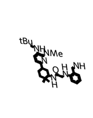 CNc1nc(C2CCC(C)(C)C(NC(=O)CNc3ccccc3C=N)C2)ccc1NCC(C)(C)C